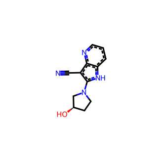 N#Cc1c(N2CC[C@@H](O)C2)[nH]c2cccnc12